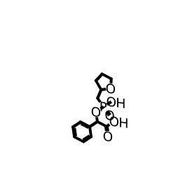 O=C(O)C(OP(=O)(O)CC1CCCO1)c1ccccc1